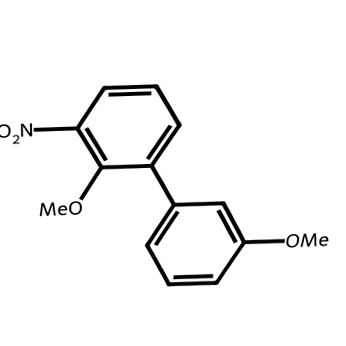 COc1cccc(-c2cccc([N+](=O)[O-])c2OC)c1